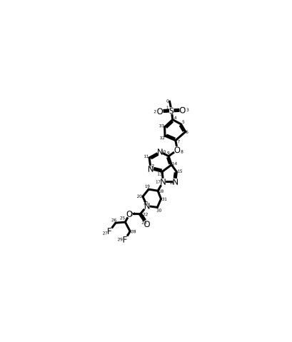 CS(=O)(=O)c1ccc(Oc2ncnc3c2cnn3C2CCN(C(=O)OC(CF)CF)CC2)cc1